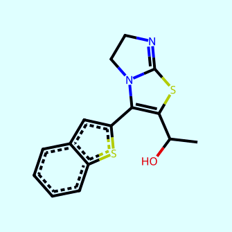 CC(O)C1=C(c2cc3ccccc3s2)N2CCN=C2S1